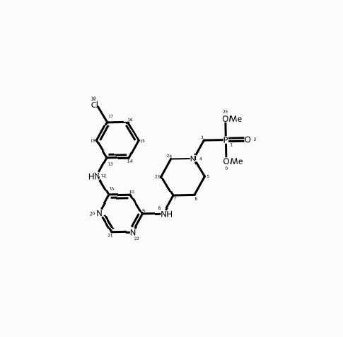 COP(=O)(CN1CCC(Nc2cc(Nc3cccc(Cl)c3)ncn2)CC1)OC